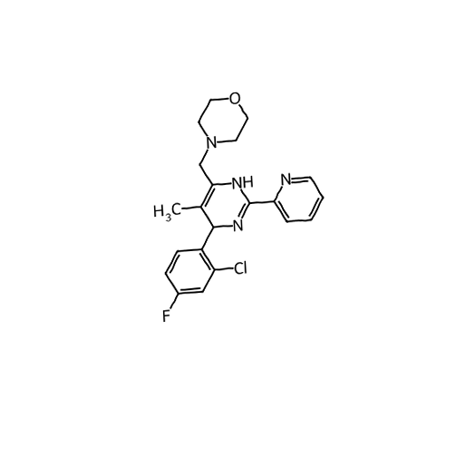 CC1=C(CN2CCOCC2)NC(c2ccccn2)=NC1c1ccc(F)cc1Cl